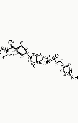 Cc1cc(-c2cc(Cl)c3c(c2)CC(CNC(=O)C=Cc2ccc(N)nc2)O3)ccc1C(=O)N1CCOCC1